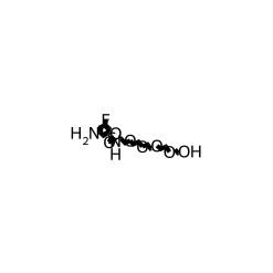 Nc1cc(F)cc(S(=O)(=O)NCCOCCOCCOCCOCCO)c1